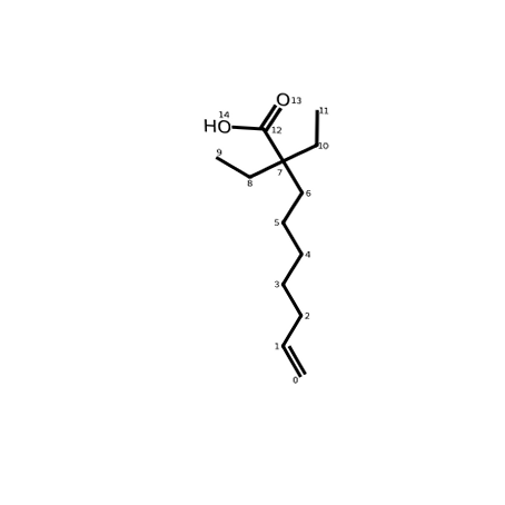 C=CCCCCCC(CC)(CC)C(=O)O